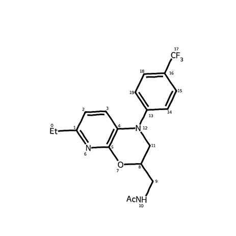 CCc1ccc2c(n1)OC(CNC(C)=O)CN2c1ccc(C(F)(F)F)cc1